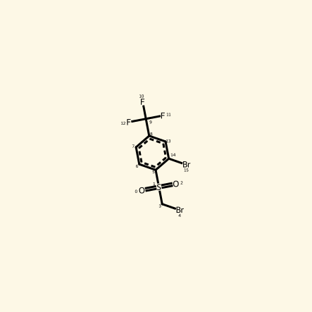 O=S(=O)(CBr)c1ccc(C(F)(F)F)cc1Br